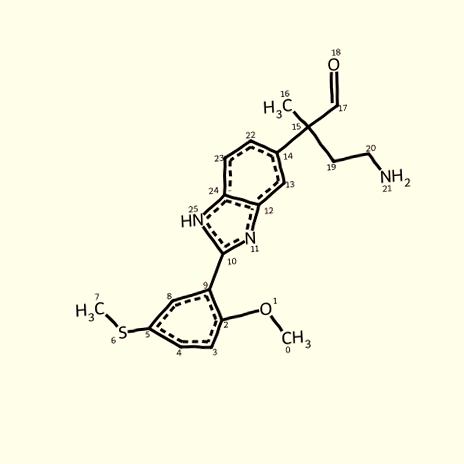 COc1ccc(SC)cc1-c1nc2cc(C(C)(C=O)CCN)ccc2[nH]1